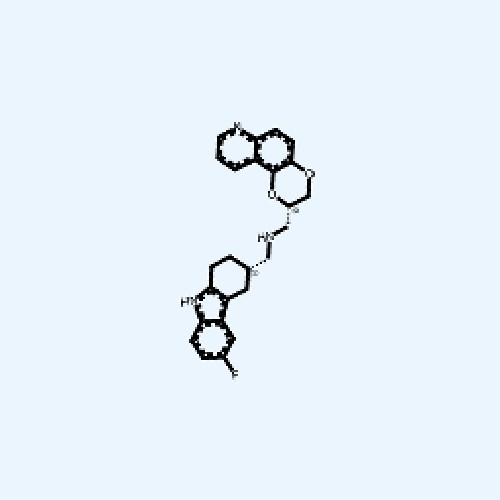 Fc1ccc2[nH]c3c(c2c1)C[C@@H](CNC[C@H]1COc2ccc4ncccc4c2O1)CC3